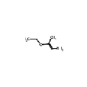 CCO/C(C)=C/N